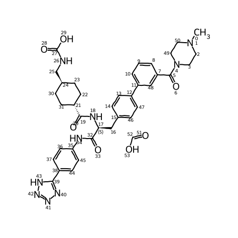 CN1CCN(C(=O)c2cccc(-c3ccc(C[C@H](NC(=O)[C@H]4CC[C@H](CNC(=O)O)CC4)C(=O)Nc4ccc(-c5nnn[nH]5)cc4)cc3)c2)CC1.O=CO